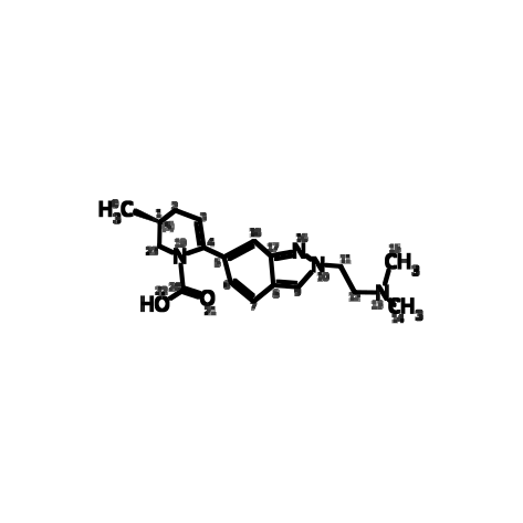 C[C@H]1CC=C(c2ccc3cn(CCN(C)C)nc3c2)N(C(=O)O)C1